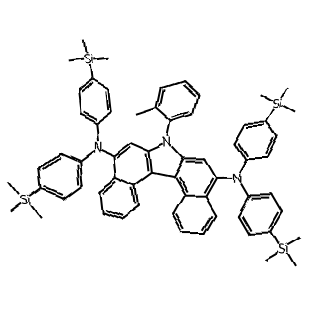 Cc1ccccc1-n1c2cc(N(c3ccc([Si](C)(C)C)cc3)c3ccc([Si](C)(C)C)cc3)c3ccccc3c2c2c3ccccc3c(N(c3ccc([Si](C)(C)C)cc3)c3ccc([Si](C)(C)C)cc3)cc21